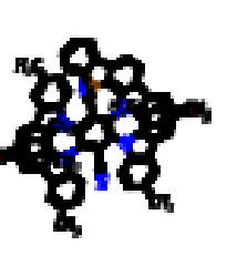 Cc1ccc2c(c1)c1cc(C)cc(C)c1n2-c1c(C#N)c(-n2c3ccc(C)cc3c3cc(C)cc(C)c32)c(-n2c3ccc(C)cc3c3ccc4c5ccccc5sc4c32)c(C#N)c1-n1c2ccc(C)cc2c2cc(C)cc(C)c21